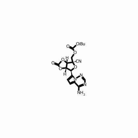 CC(C)COC(=O)OC[C@@]1(C#N)O[C@@H](c2ccc3c(N)ncnn23)[C@@H]2OC(=O)O[C@@H]21